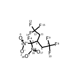 O=[N+]([O-])C(F)([C](CC(F)(F)F)CC(F)(F)F)[N+](=O)[O-]